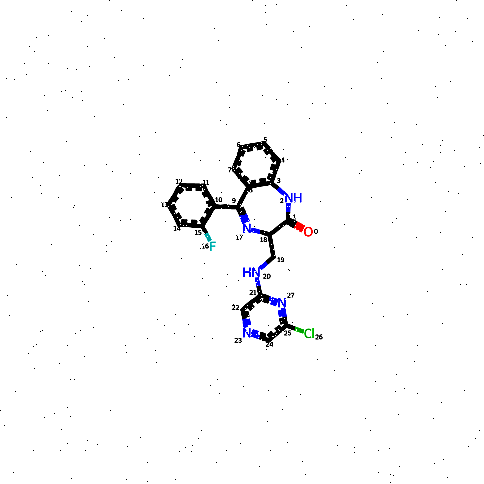 O=C1Nc2ccccc2C(c2ccccc2F)=NC1CNc1cncc(Cl)n1